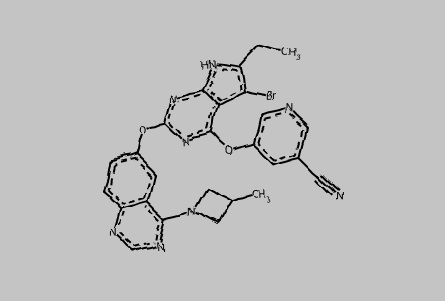 CCc1[nH]c2nc(Oc3ccc4ncnc(N5CC(C)C5)c4c3)nc(Oc3cncc(C#N)c3)c2c1Br